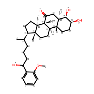 COc1ccccc1C(O)CCCC(C)[C@H]1CC[C@H]2[C@@H]3C(=O)C[C@H]4[C@@H](O)[C@@H](O)CC[C@]4(C)[C@H]3CC[C@]12C